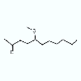 CCCCCCC(CCC(C)=O)OC